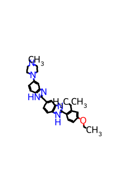 CCOc1ccc(-c2nc3cc(-c4nc5cc(N6CCN(C)CC6)ccc5[nH]4)ccc3[nH]2)c(C(C)C)c1